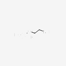 Cl.NCCOC(=O)O